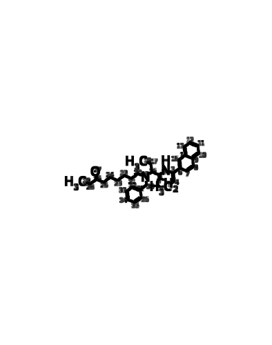 C=C(N/C(=C\C)c1ccc2ccccc2c1)C(CC)N(CCCCCCC(=O)CC)Cc1ccccc1